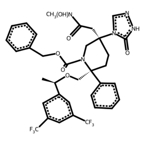 C[C@@H](OC[C@@]1(c2ccccc2)CC[C@](CC(=O)N(C)O)(n2cn[nH]c2=O)CN1C(=O)OCc1ccccc1)c1cc(C(F)(F)F)cc(C(F)(F)F)c1